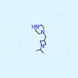 CC(C)N1CC(CN2CCNCC2)C1